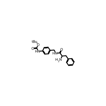 CC(C)(C)OC(=O)Nc1ccc(CNC(=O)C(N)Cc2ccccc2)cc1